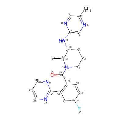 C[C@H]1[C@H](Nc2cnc(C(F)(F)F)cn2)CCCN1C(=O)c1ccc(F)cc1-c1ncccn1